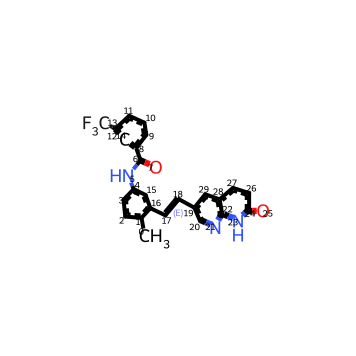 Cc1ccc(NC(=O)c2cccc(C(F)(F)F)c2)cc1/C=C/c1cnc2[nH]c(=O)ccc2c1